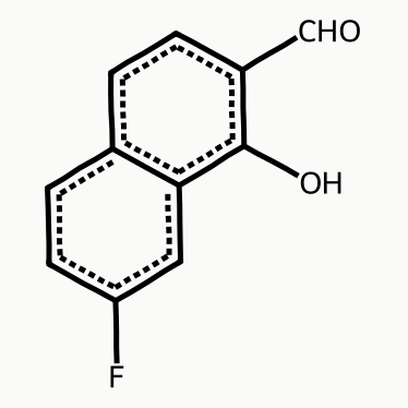 O=Cc1ccc2ccc(F)cc2c1O